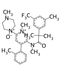 Cc1cc(C(F)(F)F)cc(C(C)(C)C(=O)N(C)c2c[n+](C)c([N+]3([O-])CCN(C)CC3)cc2-c2ccccc2C)c1